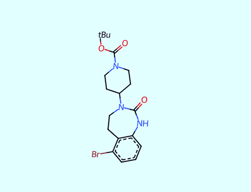 CC(C)(C)OC(=O)N1CCC(N2CCc3c(Br)cccc3NC2=O)CC1